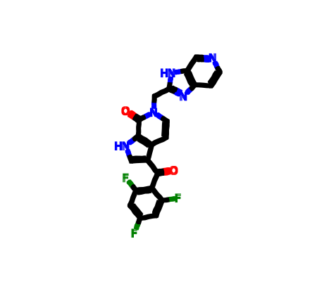 O=C(c1c(F)cc(F)cc1F)c1c[nH]c2c(=O)n(Cc3nc4ccncc4[nH]3)ccc12